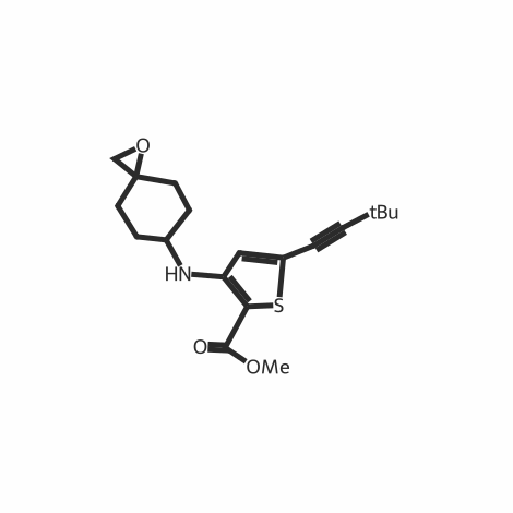 COC(=O)c1sc(C#CC(C)(C)C)cc1NC1CCC2(CC1)CO2